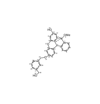 COC(=O)c1ccccc1C1c2ccc(O)cc2Oc2cc(OCc3cccc(CO)n3)ccc21